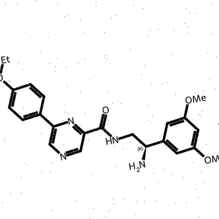 CCOc1ccc(-c2cncc(C(=O)NC[C@H](N)c3cc(OC)cc(OC)c3)n2)cc1